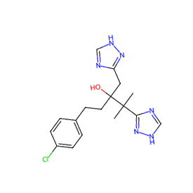 CC(C)(c1nc[nH]n1)C(O)(CCc1ccc(Cl)cc1)Cc1nc[nH]n1